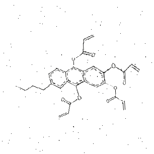 C=CC(=O)Oc1cc2c(OC(=O)C=C)c3ccc(CCCC)cc3c(OC(=O)C=C)c2cc1OC(=O)C=C